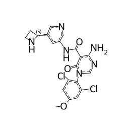 COc1cc(Cl)c(-n2cnc(N)c(C(=O)Nc3cncc([C@@H]4CCN4)c3)c2=O)c(Cl)c1